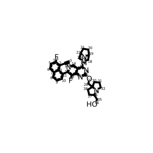 C#Cc1c(F)ccc2cccc(-c3ncc4c(N5CC6CCC(C5)N6)nc(OCC56CCCN5C(CO)CC6)nc4c3F)c12